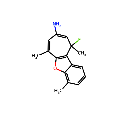 CC1=CC(N)=CC(C)(F)c2c1oc1c(C)cccc21